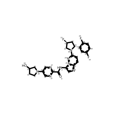 O=C(Nc1cnc2ccc(N3C[C@@H](F)C[C@@H]3c3cc(F)ccc3F)nn12)c1ncc(N2CCC(O)C2)cn1